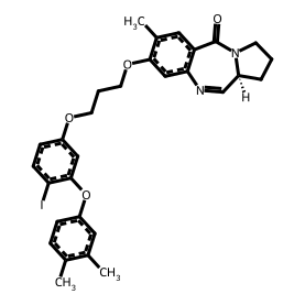 Cc1ccc(Oc2cc(OCCCOc3cc4c(cc3C)C(=O)N3CCC[C@H]3C=N4)ccc2I)cc1C